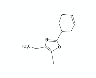 Cc1oc(C2CC=CCC2)nc1CC(=O)O